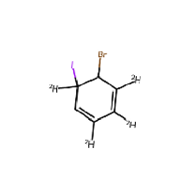 [2H]C1=CC([2H])(I)C(Br)C([2H])=C1[2H]